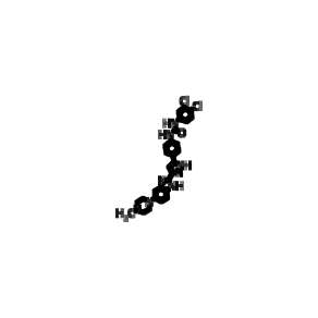 CN1CCN(c2ccc3[nH]c(-c4cc(-c5ccc(NC(=O)Nc6ccc(Cl)c(Cl)c6)cc5)[nH]n4)nc3c2)CC1